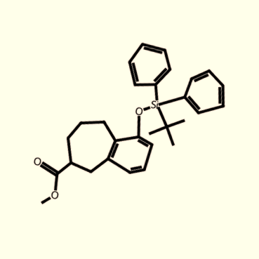 COC(=O)C1CCCc2c(cccc2O[Si](c2ccccc2)(c2ccccc2)C(C)(C)C)C1